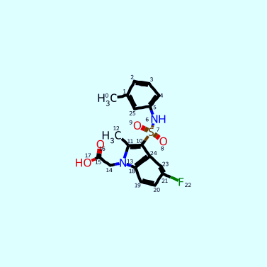 Cc1cccc(NS(=O)(=O)c2c(C)n(CC(=O)O)c3ccc(F)cc23)c1